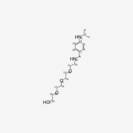 CC(C)Nc1ccc(CNCCOCCOCCOCCO)cc1